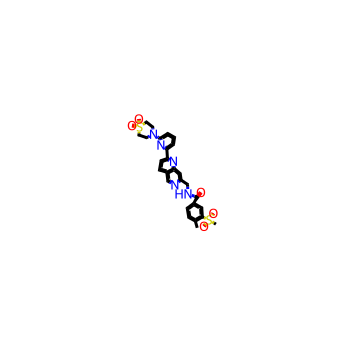 Cc1ccc(C(=O)NCc2cc3nc(-c4cccc(N5CCS(=O)(=O)CC5)n4)ccc3cn2)cc1S(C)(=O)=O